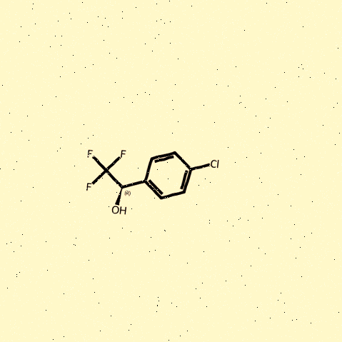 O[C@H](c1ccc(Cl)cc1)C(F)(F)F